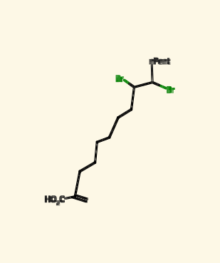 C=C(CCCCCCC(Br)C(Br)CCCCC)C(=O)O